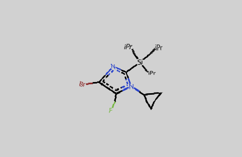 CC(C)[Si](c1nc(Br)c(F)n1C1CC1)(C(C)C)C(C)C